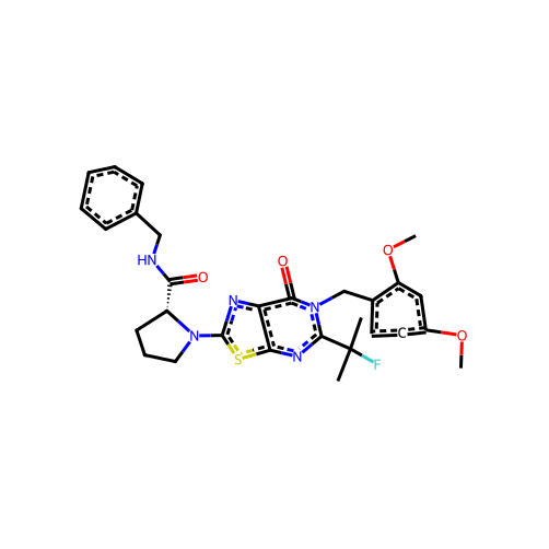 COc1ccc(Cn2c(C(C)(C)F)nc3sc(N4CCC[C@@H]4C(=O)NCc4ccccc4)nc3c2=O)c(OC)c1